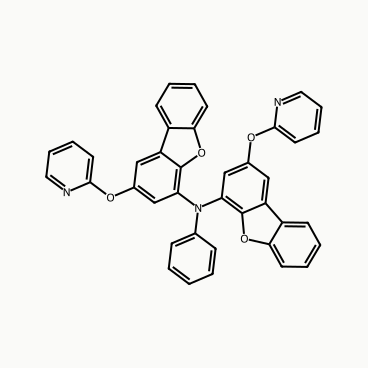 c1ccc(N(c2cc(Oc3ccccn3)cc3c2oc2ccccc23)c2cc(Oc3ccccn3)cc3c2oc2ccccc23)cc1